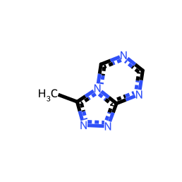 Cc1nnc2ncncn12